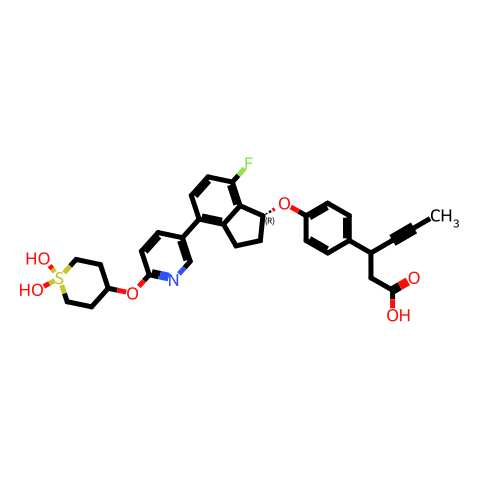 CC#CC(CC(=O)O)c1ccc(O[C@@H]2CCc3c(-c4ccc(OC5CCS(O)(O)CC5)nc4)ccc(F)c32)cc1